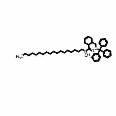 CCCCCCCCCCCCCCCCCCN(C)C(=O)C1CC=CCC1COC(c1ccccc1)(c1ccccc1)c1ccccc1